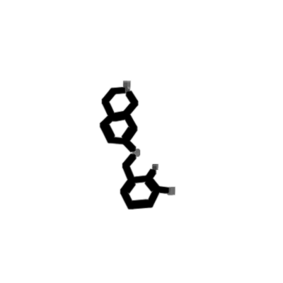 Fc1c(Cl)cccc1COc1ccc2c(c1)CNCC2